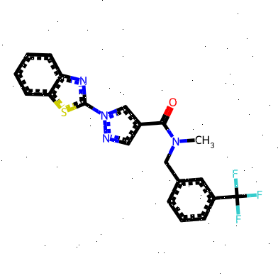 CN(Cc1cccc(C(F)(F)F)c1)C(=O)c1cnn(-c2nc3ccccc3s2)c1